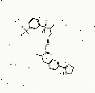 CN(Cc1ccc(C2=NCCN2)cc1)C(=O)COCCN(C)S(=O)(=O)c1cccc(C(F)(F)F)c1